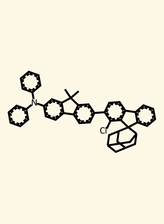 CC1(C)c2cc(-c3ccc4c(c3Cl)C3(c5ccccc5-4)C4CC5CC(C4)CC3C5)ccc2-c2ccc(N(c3ccccc3)c3ccccc3)cc21